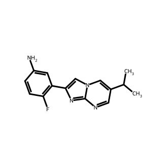 CC(C)c1cnc2nc(-c3cc(N)ccc3F)cn2c1